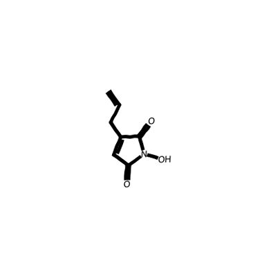 C=CCC1=CC(=O)N(O)C1=O